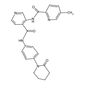 Cc1ccc(C(=O)Nc2cnccc2C(=O)Nc2ccc(N3CCCCC3=O)cc2)nc1